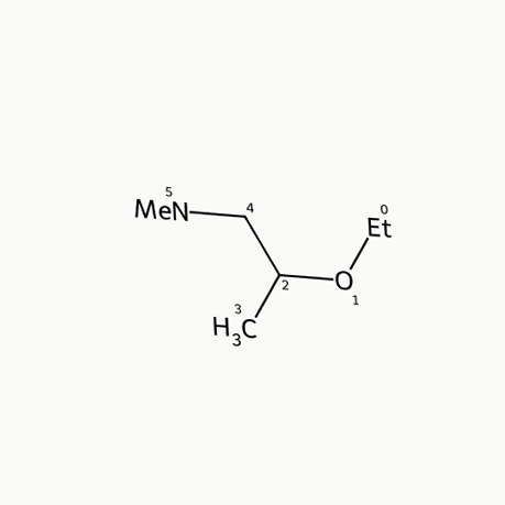 CCOC(C)CNC